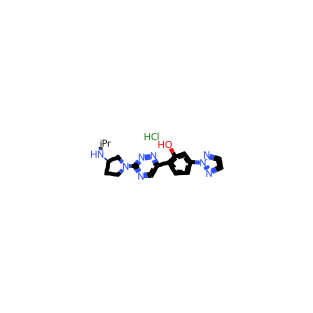 CC(C)N[C@H]1CCN(c2ncc(-c3ccc(-n4nccn4)cc3O)nn2)C1.Cl